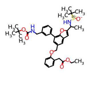 CCOC(=O)Cc1ccccc1OCc1cc(-c2cccc(CNC(=O)OC(C)(C)C)c2)c2oc(C(C)N[S@+]([O-])C(C)(C)C)cc2c1